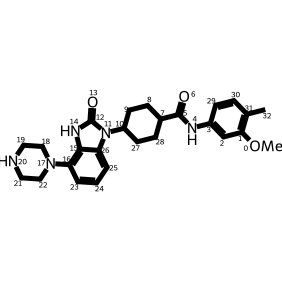 COc1cc(NC(=O)C2CCC(n3c(=O)[nH]c4c(N5CCNCC5)cccc43)CC2)ccc1C